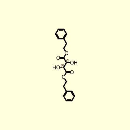 O=C(OCCc1ccccc1)[C@@H](O)[C@@H](O)C(=O)OCCc1ccccc1